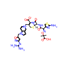 CC(C)(O/N=C(\C(=O)N[C@@H]1C(=O)N2C(C(=O)[O-])=C(C[n+]3ccc4c(ccn4Cc4cc(N=C(N)N)no4)c3)CS[C@H]12)c1csc(N)n1)C(=O)O